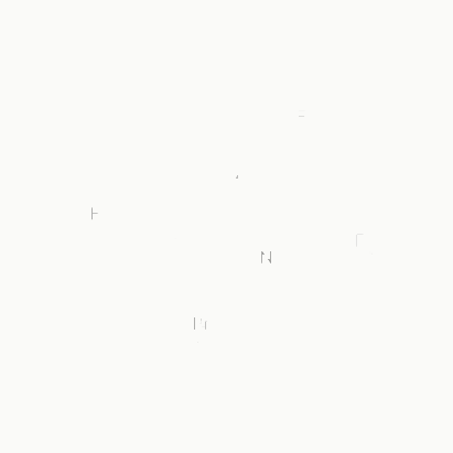 FCc1cc(CF)c(CF)nc1Br